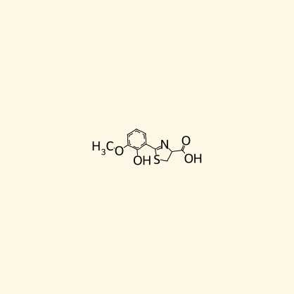 COc1cccc(C2=NC(C(=O)O)CS2)c1O